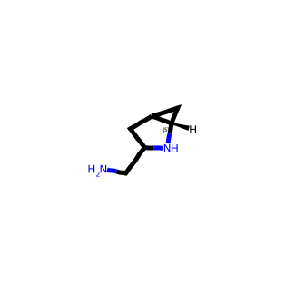 NCC1CC2C[C@@H]2N1